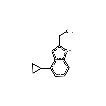 CCc1cc2c(C3CC3)cccc2[nH]1